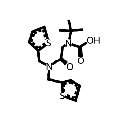 CC(C)(C)N(CC(=O)N(Cc1cccs1)Cc1cccs1)C(=O)O